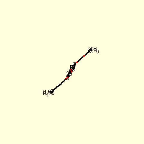 C=C(C)C(=O)OCCCCCCCCCCCCCCCCCCOc1ccc(C(=O)Oc2ccc(OC(=O)c3ccc(OCCCCCCCCCCCCCCCCCCOC(=O)C(=C)C)cc3F)cc2)c(F)c1